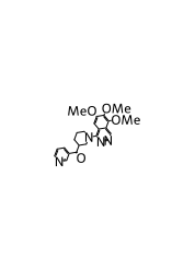 COc1cc2c(N3CCCC(C(=O)c4cccnc4)C3)nncc2c(OC)c1OC